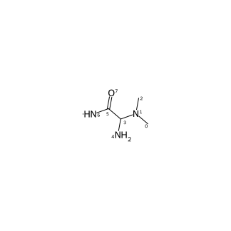 CN(C)C(N)C([NH])=O